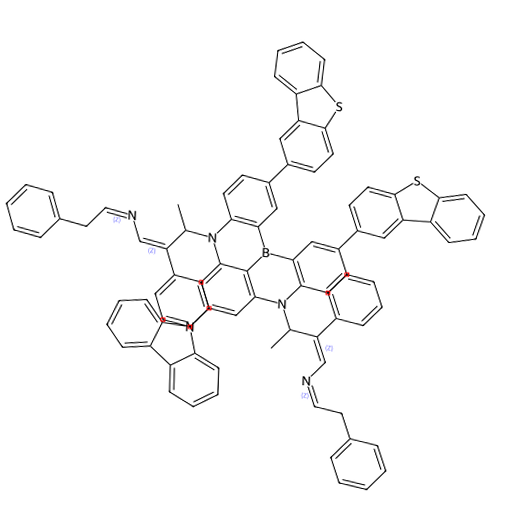 CC(/C(=C\N=C/Cc1ccccc1)c1ccccc1)N1c2ccc(-c3ccc4sc5ccccc5c4c3)cc2B2c3cc(-c4ccc5sc6ccccc6c5c4)ccc3N(C(C)/C(=C\N=C/Cc3ccccc3)c3ccccc3)c3cc(-n4c5ccccc5c5ccccc54)cc1c32